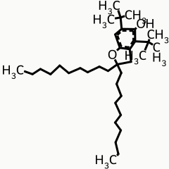 CCCCCCCCCCC1(CCCCCCCCCC)Cc2c(cc(C(C)(C)C)c(O)c2C(C)(C)C)O1